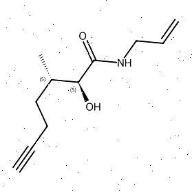 C#CCC[C@H](C)[C@H](O)C(=O)NCC=C